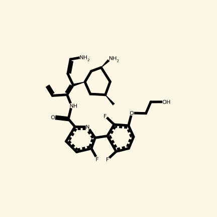 C=C/C(NC(=O)c1ccc(F)c(-c2c(F)ccc(OCCO)c2F)n1)=C(\C=C/N)[C@@H]1C[C@H](C)C[C@H](N)C1